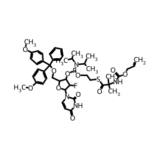 C=CCOC(=O)NC(C)(C)C(=O)SCCOP(OC1C(COC(c2ccccc2)(c2ccc(OC)cc2)c2ccc(OC)cc2)OC(n2ccc(=O)[nH]c2=O)C1F)N(C(C)C)C(C)C